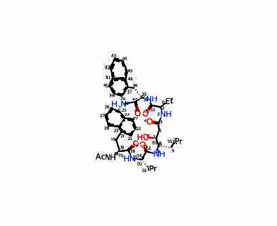 CCC(NC(=O)C[C@H](O)[C@H](CC(C)C)NC(=O)[C@@H](NC(=O)[C@H](Cc1cccc2ccccc12)NC(C)=O)C(C)C)C(=O)N[C@@H](Cc1cccc2ccccc12)C(N)=O